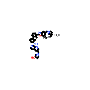 COCC1(C(=O)O)CCN(Cc2cc(C#N)c3oc(-c4cccc(-c5cccc(Nc6nccc7cc(CN8CCC(O)C8)cnc67)c5C)c4C)nc3c2)C1